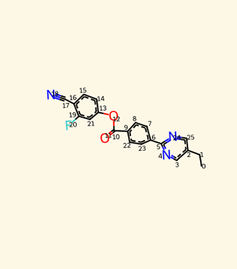 CCc1cnc(-c2ccc(C(=O)Oc3ccc(C#N)c(F)c3)cc2)nc1